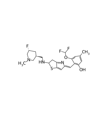 Cc1cc(O)c(/C=C2/C=C3SC(NC[C@@H]4C[C@@H](F)CN(C)C4)CC3=N2)c(OC(F)F)c1